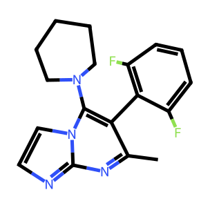 Cc1nc2nccn2c(N2CCCCC2)c1-c1c(F)cccc1F